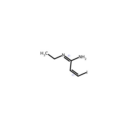 CC/N=C(N)\C=C/I